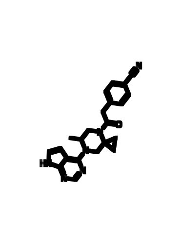 CC1CN(C(=O)Cc2ccc(C#N)cc2)C2(CC2)CN1c1ncnc2[nH]ccc12